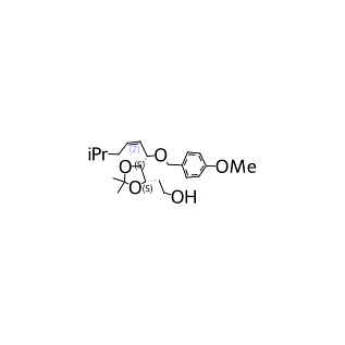 COc1ccc(COC(/C=C\CC(C)C)[C@H]2OC(C)(C)O[C@H]2CCO)cc1